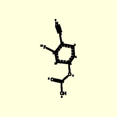 N#Cc1ccc(OC(=O)O)cc1F